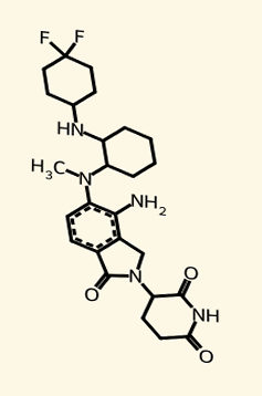 CN(c1ccc2c(c1N)CN(C1CCC(=O)NC1=O)C2=O)C1CCCCC1NC1CCC(F)(F)CC1